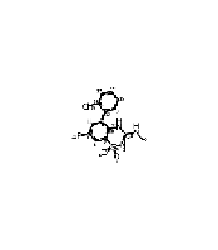 CNC1=NS(=O)(=O)c2cc(F)cc(-c3ccccc3Cl)c2N1